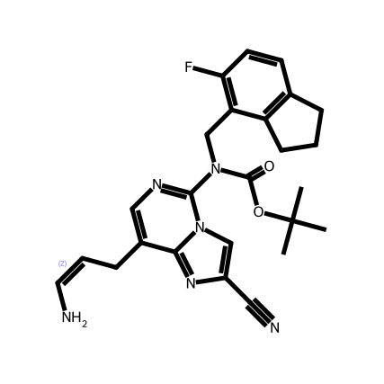 CC(C)(C)OC(=O)N(Cc1c(F)ccc2c1CCC2)c1ncc(C/C=C\N)c2nc(C#N)cn12